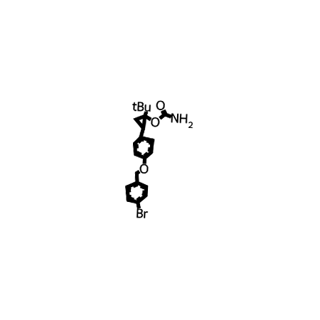 CC(C)(C)C1(OC(N)=O)CC1c1ccc(OCc2ccc(Br)cc2)cc1